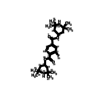 CC1(C)CC(OC(=O)c2cnc(C(=O)OC3CC(C)(C)NC(C)(C)C3)c(F)c2)CC(C)(C)N1